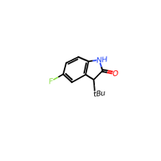 CC(C)(C)C1C(=O)Nc2ccc(F)cc21